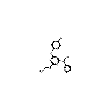 CCOc1nc(Oc2ccc(Cl)cc2)nc(C(N)c2ccco2)n1